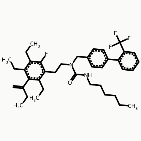 [C]=C(CC)c1c(CC)c(CC)c(F)c(CCN(Cc2ccc(-c3ccccc3C(F)(F)F)cc2)C(=O)NCCCCCC)c1CC